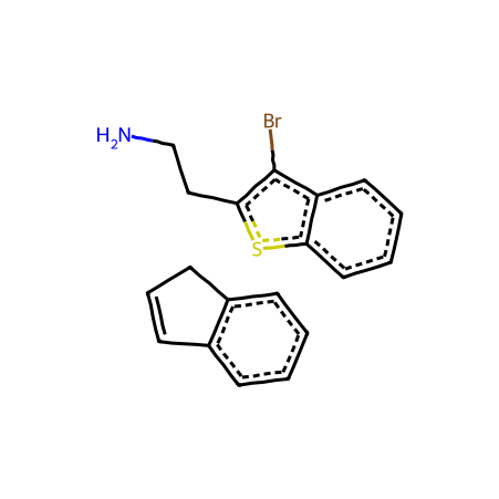 C1=Cc2ccccc2C1.NCCc1sc2ccccc2c1Br